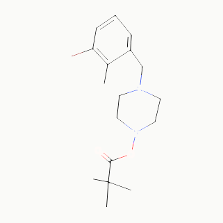 Cc1c(Br)cccc1CN1CCN(OC(=O)C(C)(C)C)CC1